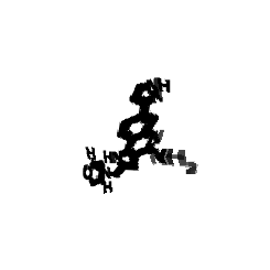 Nc1nc2cc(-c3cc[nH]n3)ccc2c2[nH]c(CN3C[C@@H]4C[C@H]3CO4)cc12